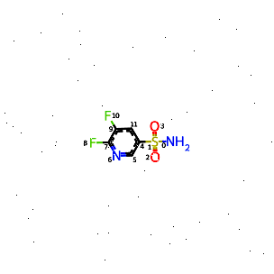 NS(=O)(=O)c1cnc(F)c(F)c1